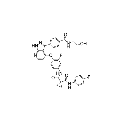 O=C(NCCO)c1ccc(-c2n[nH]c3nccc(Oc4ccc(NC(=O)C5(C(=O)Nc6ccc(F)cc6)CC5)cc4F)c23)cc1